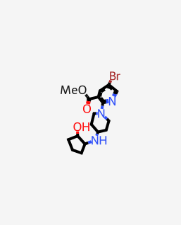 COC(=O)c1cc(Br)cnc1N1CCC(NC2CCCC2O)CC1